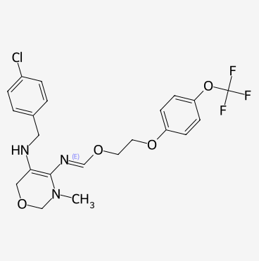 CN1COCC(NCc2ccc(Cl)cc2)=C1/N=C/OCCOc1ccc(OC(F)(F)F)cc1